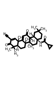 CC1(C)CC[C@]2(NC(=O)C3CC3)CC[C@]3(C)[C@H](C(=O)C=C4[C@@]5(C)C=C(C#N)C(=O)C(C)(C)[C@@H]5CC[C@]43C)[C@@H]2C1